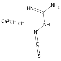 N=C(N)NN=C=S.[Ca+2].[Cl-].[Cl-]